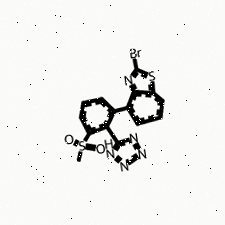 CS(=O)(=O)c1cccc(-c2cccc3sc(Br)nc23)c1-c1nnn[nH]1